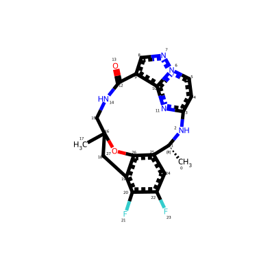 C[C@H]1Nc2ccn3ncc(c3n2)C(=O)NCC2(C)Cc3c(F)c(F)cc1c3O2